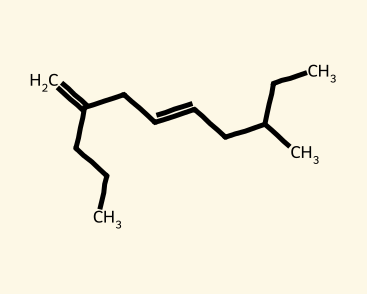 C=C(CC=CCC(C)CC)CCC